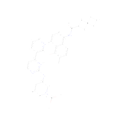 Cc1ccc2c(NC(=O)C3CC4(CCC4)C3)cccc2c1Oc1ncccc1-c1ccnc(NC2CCCN(C(=O)O)C2)n1